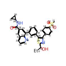 CCC(O)c1nc(-c2ccc(S(C)(=O)=O)cc2)c(-c2cccc(-c3cc(C(=O)NC4CC4)cc4cccnc34)c2)s1